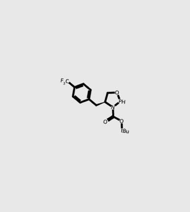 CC(C)(C)OC(=O)N1POC[C@@H]1Cc1ccc(C(F)(F)F)cc1